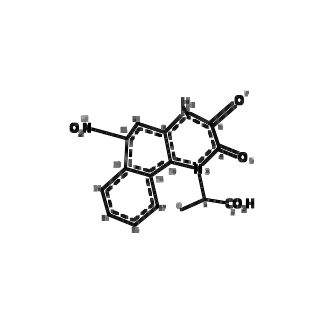 CC(C(=O)O)n1c(=O)c(=O)[nH]c2cc([N+](=O)[O-])c3ccccc3c21